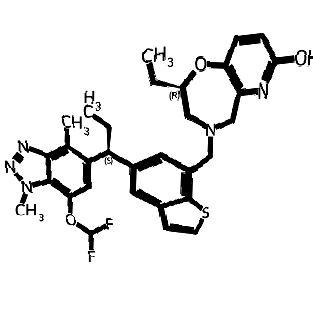 CC[C@@H]1CN(Cc2cc([C@H](CC)c3cc(OC(F)F)c4c(nnn4C)c3C)cc3ccsc23)Cc2nc(O)ccc2O1